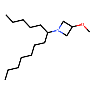 CCCCCCCC(CCCCC)N1CC(OC)C1